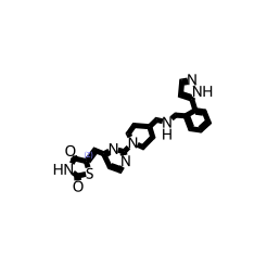 O=C1NC(=O)/C(=C/c2ccnc(N3CCC(CNCc4ccccc4-c4ccn[nH]4)CC3)n2)S1